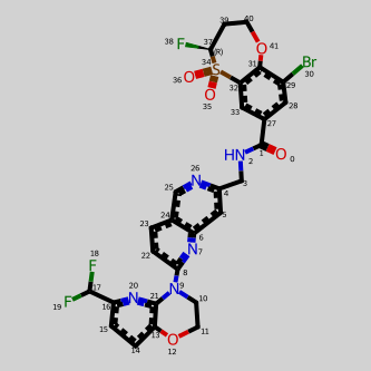 O=C(NCc1cc2nc(N3CCOc4ccc(C(F)F)nc43)ccc2cn1)c1cc(Br)c2c(c1)S(=O)(=O)[C@@H](F)CCO2